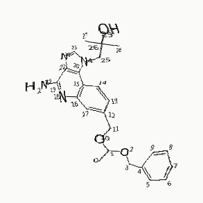 CC(OCc1ccccc1)OCc1ccc2c(c1)nc(N)c1ncn(CC(C)(C)O)c12